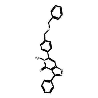 Cn1c(-c2ccc(COCc3ccccc3)cc2)cc2onc(-c3ccccc3)c2c1=O